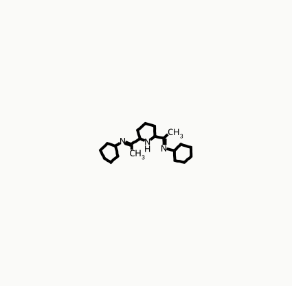 C/C(=N\C1CCCCC1)C1CCCC(/C(C)=N/C2CCCCC2)N1